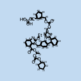 CCOc1nc2cccc(C(=O)OC(C)OC(=O)OC3CCCCC3)c2n1Cc1ccc(-c2ccccc2-c2nnn(COC(=O)OCc3cccc(CON(O)O)c3)n2)cc1